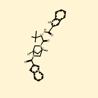 CC(C)(C)[C@H](NC(=O)c1cc2ccccc2[nH]1)C(=O)N1C[C@@H]2C[C@H]1CN2C(=O)c1cc2ccccn2c1